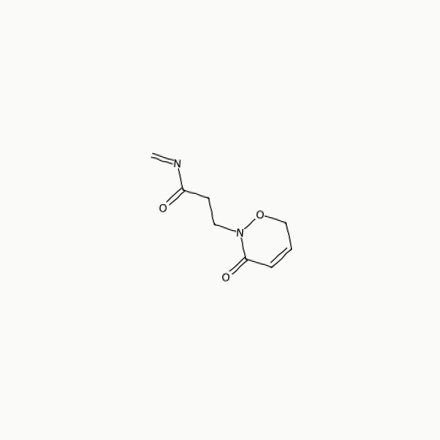 C=NC(=O)CCN1OCC=CC1=O